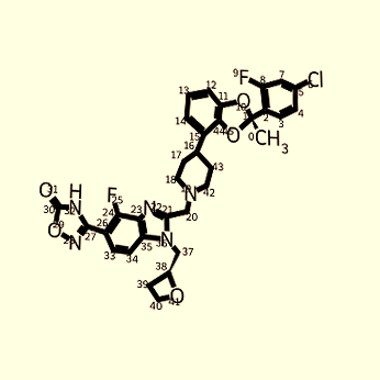 C[C@]1(c2ccc(Cl)cc2F)Oc2cccc(C3CCN(Cc4nc5c(F)c(-c6noc(=O)[nH]6)ccc5n4C[C@@H]4CCO4)CC3)c2O1